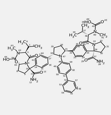 CC(C)[C@@H](C(=O)N1CCC[C@@]1(C(N)=O)c1ccc([C@@H]2CC[C@@H](c3ccc([C@]4(C(N)=O)CCCN4C(=O)[C@H](C(C)C)N(C)C(=O)O)cc3)N2c2ccc(-c3cccnc3)cc2)cc1)N(C)C(=O)O